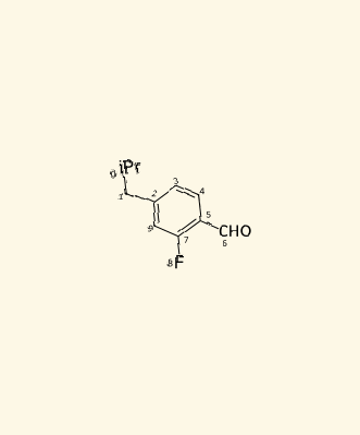 CC(C)Cc1ccc(C=O)c(F)c1